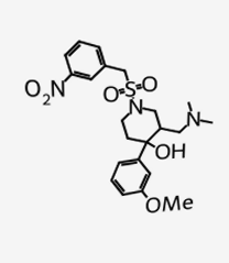 COc1cccc(C2(O)CCN(S(=O)(=O)Cc3cccc([N+](=O)[O-])c3)CC2CN(C)C)c1